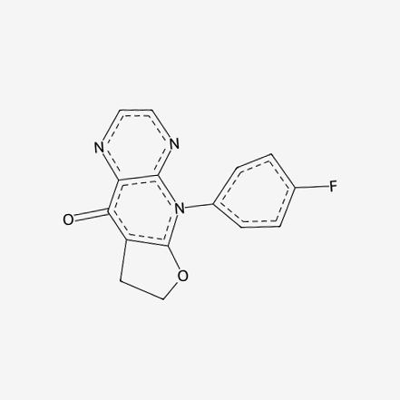 O=c1c2c(n(-c3ccc(F)cc3)c3nccnc13)OCC2